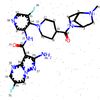 CN1CC2CC1CN2C(=O)C1CCN(c2c(F)cncc2NC(=O)c2c(N)nn3cc(F)cnc23)CC1